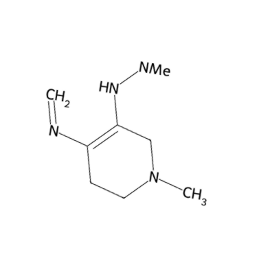 C=NC1=C(NNC)CN(C)CC1